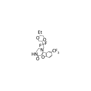 CC[C@@H]1CO[C@@H](C(F)(F)CN2CCNC(=O)c3oc4ccc(C(F)(F)F)cc4c32)CO1